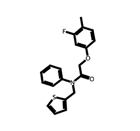 Cc1ccc(OCC(=O)N(Cc2cccs2)c2ccccc2)cc1F